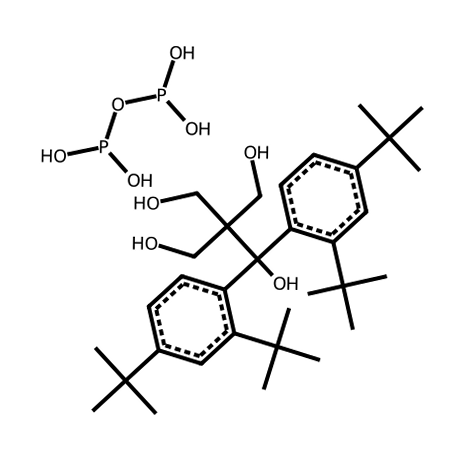 CC(C)(C)c1ccc(C(O)(c2ccc(C(C)(C)C)cc2C(C)(C)C)C(CO)(CO)CO)c(C(C)(C)C)c1.OP(O)OP(O)O